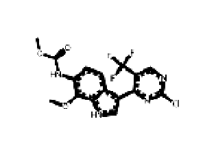 COC(=O)Nc1ccc2c(-c3nc(Cl)ncc3C(F)(F)F)c[nH]c2c1OC